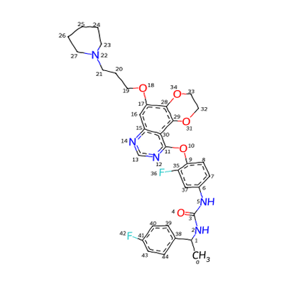 CC(NC(=O)Nc1ccc(Oc2ncnc3cc(OCCCN4CCCCC4)c4c(c23)OCCO4)c(F)c1)c1ccc(F)cc1